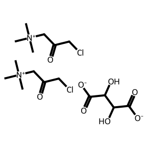 C[N+](C)(C)CC(=O)CCl.C[N+](C)(C)CC(=O)CCl.O=C([O-])C(O)C(O)C(=O)[O-]